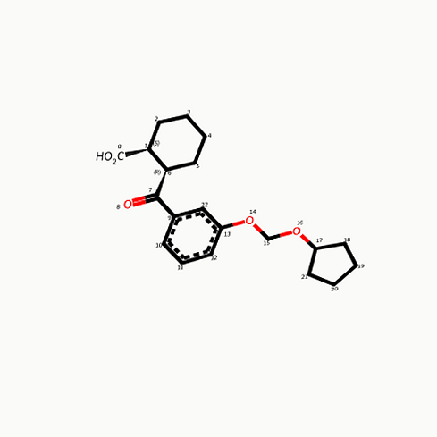 O=C(O)[C@H]1CCCC[C@H]1C(=O)c1cccc(OCOC2CCCC2)c1